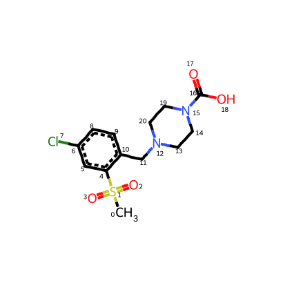 CS(=O)(=O)c1cc(Cl)ccc1CN1CCN(C(=O)O)CC1